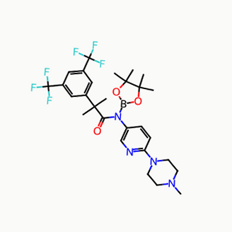 CN1CCN(c2ccc(N(B3OC(C)(C)C(C)(C)O3)C(=O)C(C)(C)c3cc(C(F)(F)F)cc(C(F)(F)F)c3)cn2)CC1